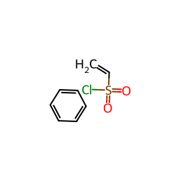 C=CS(=O)(=O)Cl.c1ccccc1